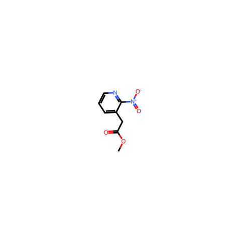 COC(=O)Cc1cccnc1[N+](=O)[O-]